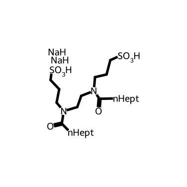 CCCCCCCC(=O)N(CCCS(=O)(=O)O)CCN(CCCS(=O)(=O)O)C(=O)CCCCCCC.[NaH].[NaH]